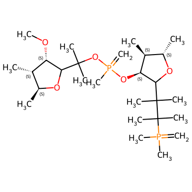 C=P(C)(O[C@@H]1C(C(C)(C)C(C)(C)P(=C)(C)C)O[C@@H](C)[C@@H]1C)OC(C)(C)C1O[C@@H](C)[C@H](C)[C@@H]1OC